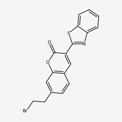 O=c1oc2cc(CCBr)ccc2cc1-c1nc2ccccc2s1